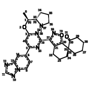 C[C@H](Oc1cc(-c2ccn3ncnc3c2)nc(-c2noc3c2CCC[C@@]32CCCCC2=O)n1)[C@@H]1CCCN1C